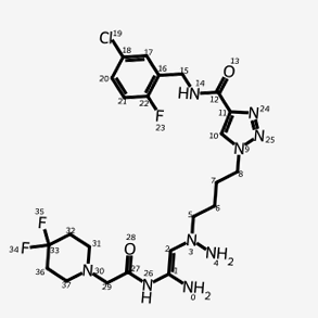 N/C(=C\N(N)CCCCn1cc(C(=O)NCc2cc(Cl)ccc2F)nn1)NC(=O)CN1CCC(F)(F)CC1